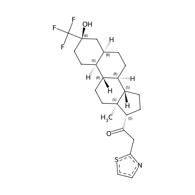 C[C@]12CC[C@H]3[C@@H](CC[C@@H]4C[C@@](O)(C(F)(F)F)CC[C@@H]43)[C@@H]1CC[C@@H]2C(=O)Cc1nccs1